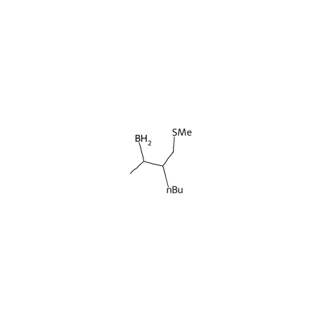 BC(C)C(CCCC)CSC